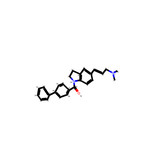 CN(C)CC=Cc1ccc2c(c1)CCN2C(=O)c1ccc(-c2ccccc2)cc1